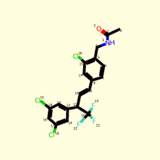 CC(=O)NCc1ccc(/C=C/C(c2cc(Cl)cc(Cl)c2)C(F)(F)F)cc1Cl